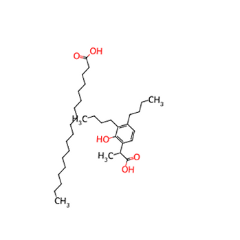 CCCCCCCCCCCCCCCCCC(=O)O.CCCCc1ccc(C(C)C(=O)O)c(O)c1CCCC